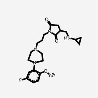 CCCOc1ccc(F)cc1N1CCN(CCCN2C(=O)CC(CNC3CC3)C2=O)CC1